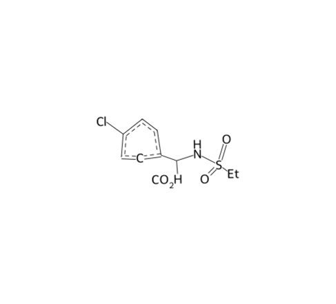 CCS(=O)(=O)NC(C(=O)O)c1ccc(Cl)cc1